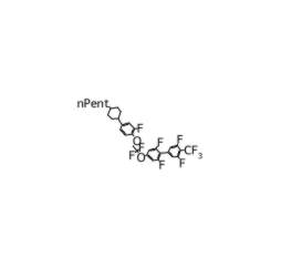 CCCCCC1CCC(c2ccc(OCC(F)(F)Oc3cc(F)c(-c4cc(F)c(C(F)(F)F)c(F)c4)c(F)c3)c(F)c2)CC1